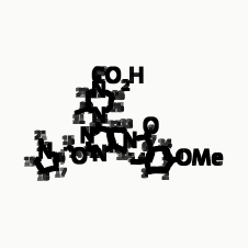 COc1ccc(C)c(C(=O)N2Cc3nc(OC[C@@H]4CCCN4C)nc(N4CCN(C(=O)O)C[C@@H]4C)c3C2)c1